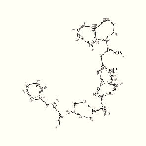 CN(Cc1nc2cc(C(=O)N3CCN(C(=O)OCc4ccccc4)CC3)ccc2[nH]1)C1CCCc2cccnc21